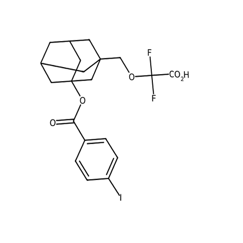 O=C(OC12CC3CC(CC(COC(F)(F)C(=O)O)(C3)C1)C2)c1ccc(I)cc1